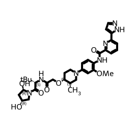 COc1cc(N2CC[C@@H](OCC(=O)N[C@H](C(=O)N3C[C@H](O)C[C@H]3O)C(C)(C)C)[C@@H](C)C2)ccc1NC(=O)c1cccc(-c2ccn[nH]2)n1